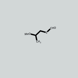 COC(C)CSC=O